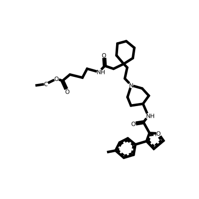 CCOC(=O)CCCNC(=O)CC1(CCN2CCC(NC(=O)c3occc3-c3ccc(C)cc3)CC2)CCCCC1